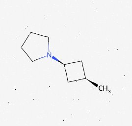 C[C@H]1C[C@@H](N2CCCC2)C1